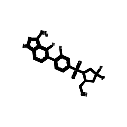 Nc1n[nH]c2ccc(-c3ccc(S(=O)(=O)N4CC(F)(F)C[C@H]4CO)cc3F)c(F)c12